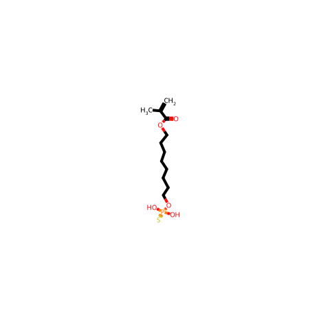 C=C(C)C(=O)OCCCCCCCCOP(O)(O)=S